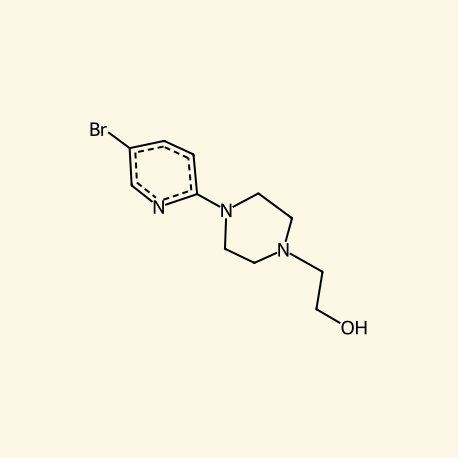 OCCN1CCN(c2ccc(Br)cn2)CC1